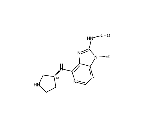 CCn1c(NC=O)nc2c(N[C@H]3CCNC3)ncnc21